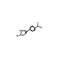 CCC(F)c1ccc(C2=C3CC(Br)NN32)cc1